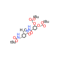 CN(NC(=O)c1ccc(OCC(=O)OC(C)(C)C)c(OCC(=O)OC(C)(C)C)c1)C(=O)c1ccc(CNC(=O)OC(C)(C)C)cc1